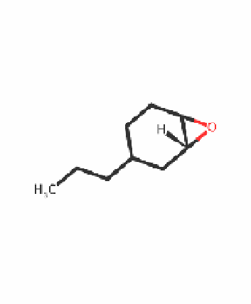 CCCC1CCC2O[C@@H]2C1